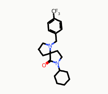 O=C1N(C2CCCCC2)CCC12CCCN2Cc1ccc(C(F)(F)F)cc1